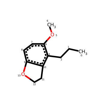 CCCc1c(OC)ccc2c1CCO2